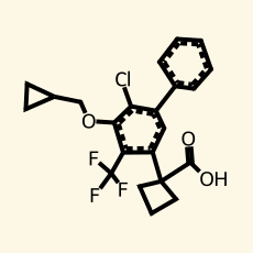 O=C(O)C1(c2cc(-c3ccccc3)c(Cl)c(OCC3CC3)c2C(F)(F)F)CCC1